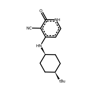 CC(C)(C)[C@H]1CC[C@@H](Nc2cc[nH]c(=O)c2C#N)CC1